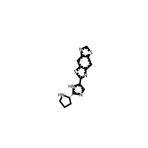 c1nc2cc3sc(-c4cnc([C@@H]5CCCN5)[nH]4)nc3cc2s1